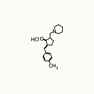 Cc1ccc(/C=C2\CCC(CN3CCCCC3)C2=O)cc1.Cl